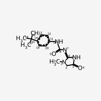 CN1CC(=O)NC1=NC(=O)Nc1ccc(C(C)(C)C)cc1